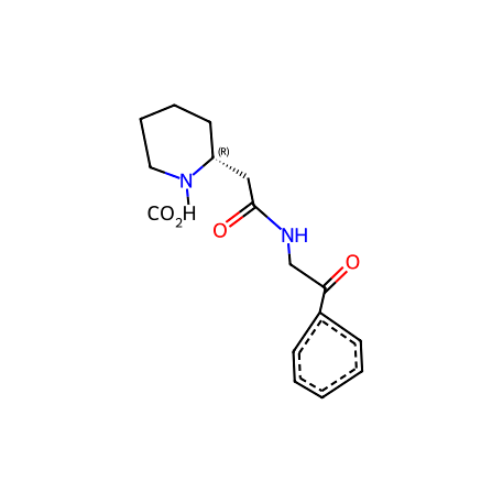 O=C(C[C@H]1CCCCN1C(=O)O)NCC(=O)c1ccccc1